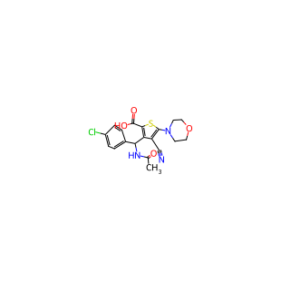 CC(=O)NC(c1ccc(Cl)cc1)c1c(C(=O)O)sc(N2CCOCC2)c1C#N